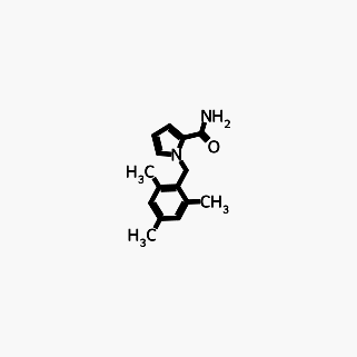 Cc1cc(C)c(Cn2cccc2C(N)=O)c(C)c1